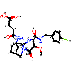 COc1c(C(=O)NCc2ccc(F)cc2)nc2n(c1=O)CC1CCC2(NC(=O)CCC(=O)O)CC1